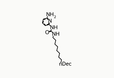 CCCCCCCCCCCCCCCCCCNC(=O)Nc1cccc(N)n1